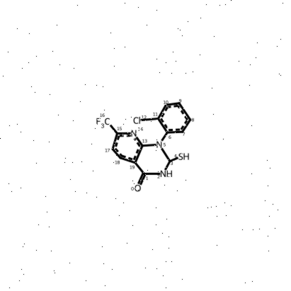 O=C1NC(S)N(c2ccccc2Cl)c2nc(C(F)(F)F)ccc21